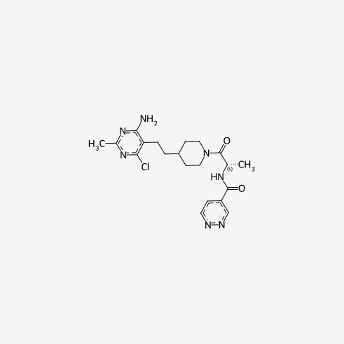 Cc1nc(N)c(CCC2CCN(C(=O)[C@H](C)NC(=O)c3ccnnc3)CC2)c(Cl)n1